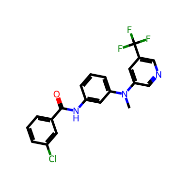 CN(c1cccc(NC(=O)c2cccc(Cl)c2)c1)c1cncc(C(F)(F)F)c1